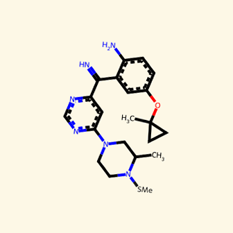 CSN1CCN(c2cc(C(=N)c3cc(OC4(C)CC4)ccc3N)ncn2)CC1C